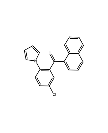 O=C(c1cc(Cl)ccc1-n1cccc1)c1cccc2ccccc12